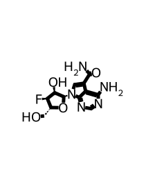 NC(=O)c1cn([C@@H]2O[C@H](CO)[C@@H](F)[C@H]2O)c2ncnc(N)c12